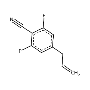 C=CCc1cc(F)c(C#N)c(F)c1